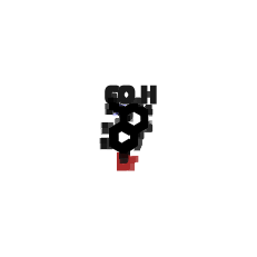 O=C(O)/C=C1\CCCc2cc(Br)ccc21